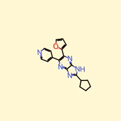 c1coc(-c2nc3[nH]c(C4CCCC4)nc3nc2-c2ccncc2)c1